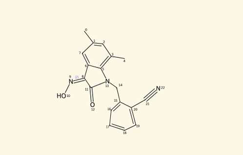 Cc1cc(C)c2c(c1)/C(=N/O)C(=O)N2Cc1ccccc1C#N